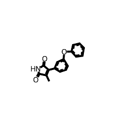 CC1=C(c2cccc(Oc3ccccc3)c2)C(=O)NC1=O